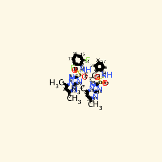 Cc1cc(C)n2nc(S(=O)(=O)Nc3c(F)cccc3F)nc2n1.Cc1cc(C)n2nc(S(=O)(=O)Nc3ccccc3C(F)(F)F)nc2n1